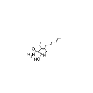 CC=CC=CCc1cnc(O)c(C(N)=O)c1CC